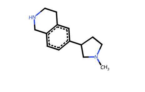 CN1CCC(c2ccc3c(c2)CCNC3)C1